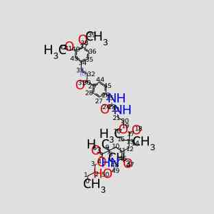 CCCCOC(=O)C(C)(C)CC(CC(C)(CC)C(=O)OCCNC(=O)Nc1ccc(C(=O)/C=C/c2ccc(OC)c(OC)c2)cc1)C(=O)NCO